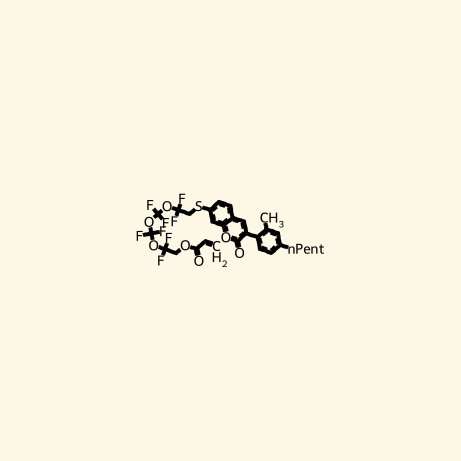 C=CC(=O)OCC(F)(F)OC(F)(F)OC(F)(F)OC(F)(F)CSc1ccc2cc(-c3ccc(CCCCC)cc3C)c(=O)oc2c1